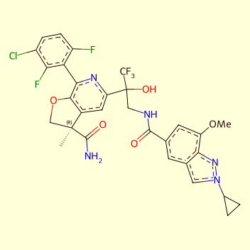 COc1cc(C(=O)NCC(O)(c2cc3c(c(-c4c(F)ccc(Cl)c4F)n2)OC[C@]3(C)C(N)=O)C(F)(F)F)cc2cn(C3CC3)nc12